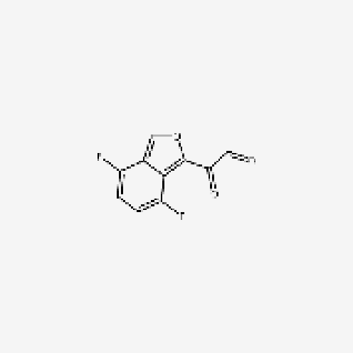 O=CC(=O)c1occ2c(F)ccc(F)c12